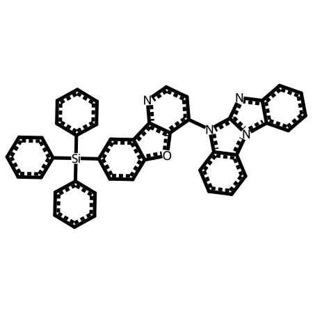 c1ccc([Si](c2ccccc2)(c2ccccc2)c2ccc3oc4c(-n5c6ccccc6n6c7ccccc7nc56)ccnc4c3c2)cc1